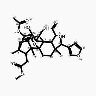 COC(=O)CC1C2(C)CC34OC5(C)OC6(C(CC=O)C(C)(C(O)c7ccoc7)CCC6(O5)C13C)C(O)C4(O)C2OC(C)=O